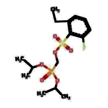 CCc1cccc(F)c1S(=O)(=O)OCP(=O)(OC(C)C)OC(C)C